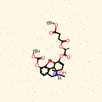 C[C@H](OC(=O)CCC(=O)OC(C)(C)C)C(=O)OC1=CC[C@@]2(O)[C@H]3Cc4ccc(OC(=O)OC(C)(C)C)c5c4[C@@]2(CCN3C)[C@H]1O5